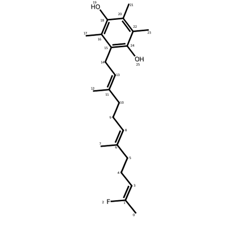 C/C(F)=C/CC/C(C)=C/CC/C(C)=C/Cc1c(C)c(O)c(C)c(C)c1O